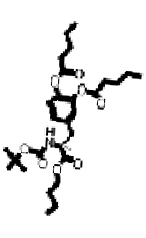 CCCCOC(=O)[C@H](Cc1ccc(OC(=O)CCCC)c(OC(=O)CCCC)c1)NC(=O)OC(C)(C)C